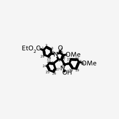 CCOC(=O)c1ccc(N2C(=O)C(OC)=C(C(=NO)c3ccc(OC)cc3)C2c2ccccc2)cc1